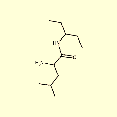 CCC(CC)NC(=O)C(N)CC(C)C